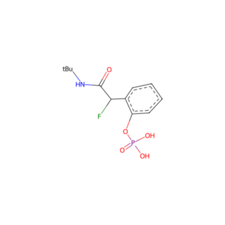 CC(C)(C)NC(=O)C(F)c1ccccc1OP(=O)(O)O